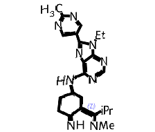 CCn1c(-c2cnc(C)nc2)nc2c(NC3CCC(=N)/C(=C(\NC)C(C)C)C3)ncnc21